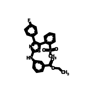 CCOC(=O)c1cccc(Nc2nc(-c3ccc(F)cc3)c(-c3ccccc3S(C)(=O)=O)s2)c1